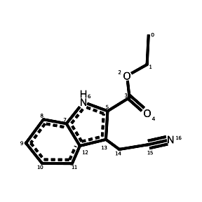 CCOC(=O)c1[nH]c2ccccc2c1CC#N